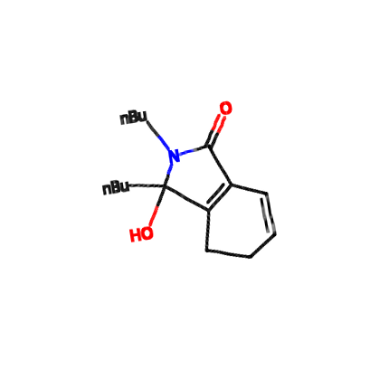 CCCCN1C(=O)C2=C(CCC=C2)C1(O)CCCC